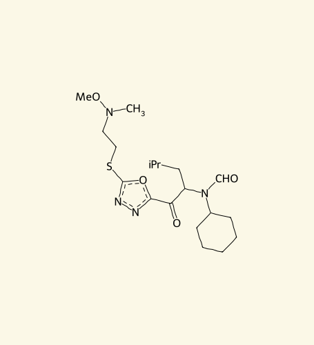 CON(C)CCSc1nnc(C(=O)C(CC(C)C)N(C=O)C2CCCCC2)o1